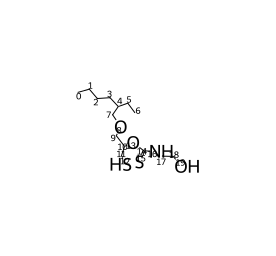 CCCCC(CC)COCC(CS)OC(=S)NCCO